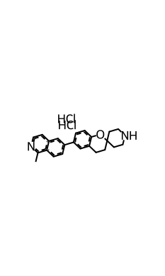 Cc1nccc2cc(-c3ccc4c(c3)CCC3(CCNCC3)O4)ccc12.Cl.Cl